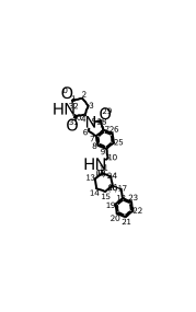 O=C1CCC(N2Cc3cc(CN[C@@H]4CCC[C@H](Cc5ccccc5)C4)ccc3C2=O)C(=O)N1